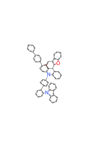 C1=Cc2c(oc3ccccc23)C(c2ccccc2N(c2ccc(-c3ccc(-c4ccccc4)cc3)cc2)c2ccc(-c3ccccc3-n3c4ccccc4c4ccccc43)cc2)C1